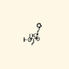 CCC=C(C(=O)O)C(=O)OCCCc1ccccc1